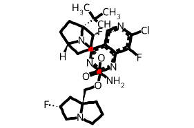 CC(C)(C)[C@]12CC[C@@H](C[C@@H](OC(N)=O)[C@H]1F)N2c1nc(OC[C@@]23CCCN2C[C@H](F)C3)nc2c(F)c(Cl)ncc12